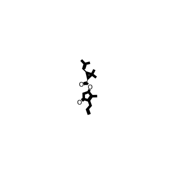 C=CCC1=C(C)C(OC(=O)[C@@H]2[C@@H](C=C(C)C)C2(C)C)CC1=O